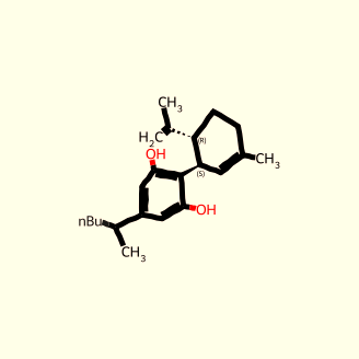 C=C(C)[C@@H]1CCC(C)=C[C@H]1c1c(O)cc(C(C)CCCC)cc1O